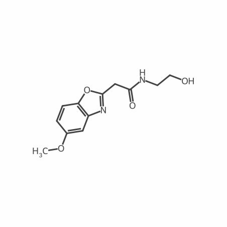 COc1ccc2oc(CC(=O)NCCO)nc2c1